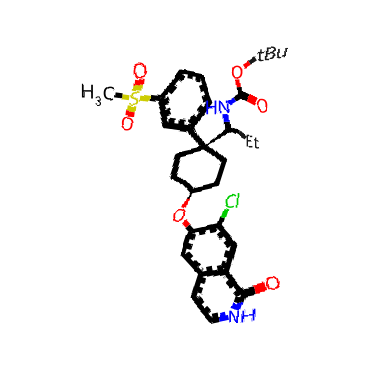 CCC(NC(=O)OC(C)(C)C)[C@]1(c2cccc(S(C)(=O)=O)c2)CC[C@H](Oc2cc3cc[nH]c(=O)c3cc2Cl)CC1